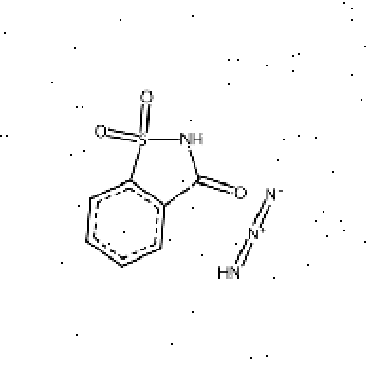 O=C1NS(=O)(=O)c2ccccc21.[N-]=[N+]=N